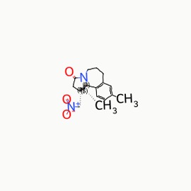 Cc1ccc2c(c1)CCCN1C(=O)CC3[C@H](C[N+](=O)[O-])[C@@H](C)C[C@]231